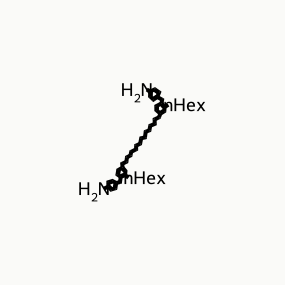 CCCCCCc1cc(CCCCCCCCCCCCCCCCc2ccc(Cc3ccc(N)cc3)c(CCCCCC)c2)ccc1Cc1ccc(N)cc1